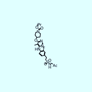 CC(=O)CNS(=O)(=O)CCc1ccc(Nc2ncnc(OC3CCN(C(=O)OC(C)C)CC3)c2C)c(F)c1